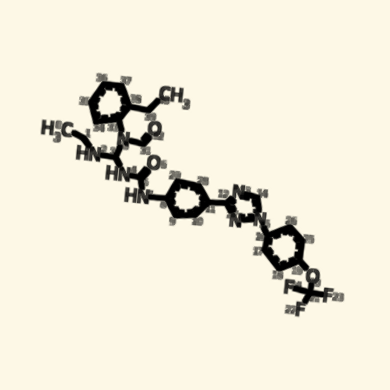 CCNC(NC(=O)Nc1ccc(-c2ncn(-c3ccc(OC(F)(F)F)cc3)n2)cc1)N(C=O)c1ccccc1CC